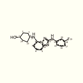 O[C@H]1CC[C@@H](Nc2cccc3nc(Nc4cccc(F)c4)nn23)CC1